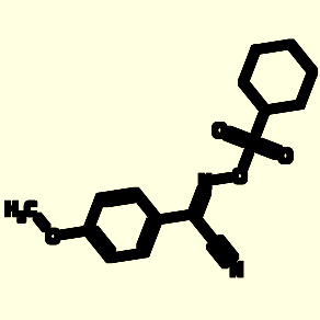 COc1ccc(/C(C#N)=N/OS(=O)(=O)C2CCCCC2)cc1